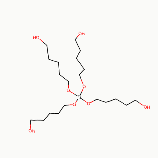 OCCCCC[O][Ti]([O]CCCCCO)([O]CCCCCO)[O]CCCCCO